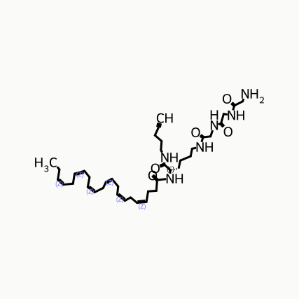 C#CCCCNC(=O)[C@H](CCCCNC(=O)CNC(=O)CNC(=O)CN)NC(=O)CC/C=C\C/C=C\C/C=C\C/C=C\C/C=C\C/C=C\CC